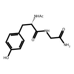 CC(=O)N[C@@H](Cc1ccc(O)cc1)C(=O)NCC(N)=O